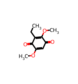 CCC1=C(OC)C(=O)C=C(OC)C1=O